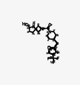 O=C(N1CCC(Cc2nc(C(F)(F)F)co2)CC1)N1CC2(CCC(O)N2)C1